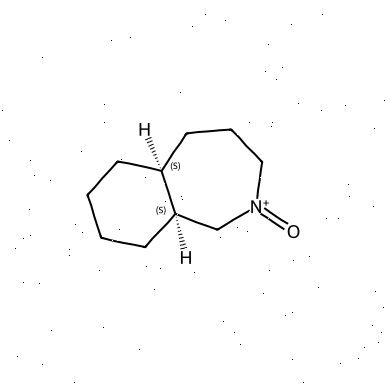 O=[N+]1CCC[C@@H]2CCCC[C@@H]2C1